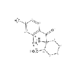 Cc1ccc(C(=O)C2(O)CCCCC2C(=O)O)c(C)c1